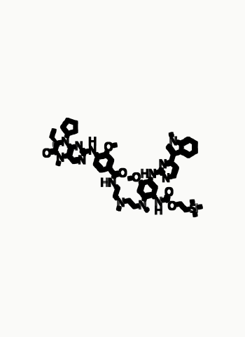 CC[C@@H]1C(=O)N(C)c2cnc(Nc3ccc(C(=O)NCCN(C)CCN(C)c4cc(OC)c(Nc5nccc(-c6cn(C)c7ccccc67)n5)cc4NC(=O)OCC[Si](C)(C)C)cc3OC)nc2N1C1CCCC1